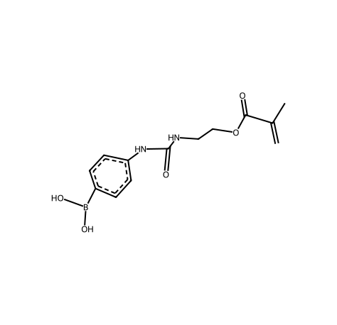 C=C(C)C(=O)OCCNC(=O)Nc1ccc(B(O)O)cc1